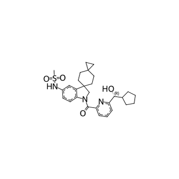 CS(=O)(=O)Nc1ccc2c(c1)C1(CCC3(CC3)CC1)CN2C(=O)c1cccc([C@H](O)C2CCCC2)n1